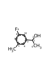 C[C](O)c1cc(C)cc(F)c1